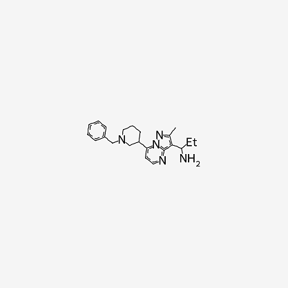 CCC(N)c1c(C)nn2c(C3CCCN(Cc4ccccc4)C3)ccnc12